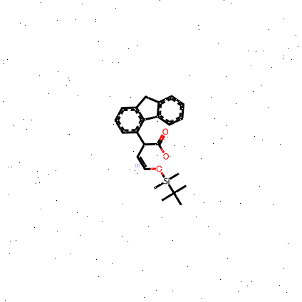 CC(C)(C)[Si](C)(C)O/C=C\C(C([O])=O)c1cccc2c1-c1ccccc1C2